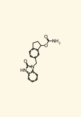 NC(=O)OC1CCc2ccc(Cn3c(=O)[nH]c4ccccc43)cc21